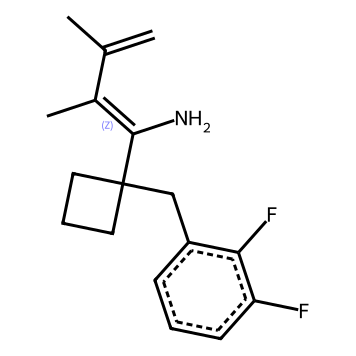 C=C(C)/C(C)=C(\N)C1(Cc2cccc(F)c2F)CCC1